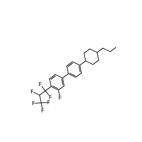 CCCC1CCC(c2ccc(-c3ccc(C(F)(F)C(F)C(F)(F)F)c(F)c3)cc2)CC1